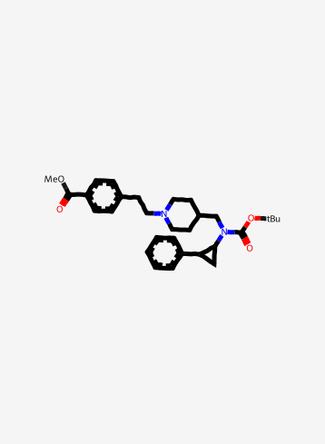 COC(=O)c1ccc(CCN2CCC(CN(C(=O)OC(C)(C)C)C3CC3c3ccccc3)CC2)cc1